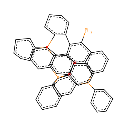 Pc1ccc(-c2ccccc2P(c2ccccc2)c2ccccc2)c(-c2ccccc2P(c2ccccc2)c2ccccc2)c1-c1ccccc1P(c1ccccc1)c1ccccc1